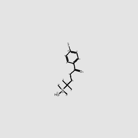 CC(C)(CCC(=O)c1ccc(F)cc1)[Si](C)(C)O